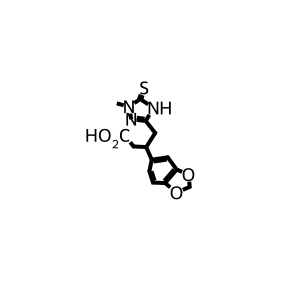 Cn1nc(CC(CC(=O)O)c2ccc3c(c2)OCO3)[nH]c1=S